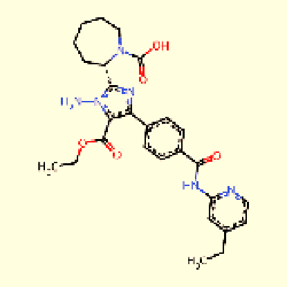 CCOC(=O)c1c(-c2ccc(C(=O)Nc3cc(CC)ccn3)cc2)nc([C@@H]2CCCCCN2C(=O)O)n1N